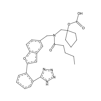 CCCCC(=O)N(Cc1ccc2oc(-c3ccccc3-c3nnn[nH]3)cc2c1)CC1(OC(=O)O)CCCC1